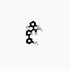 NC(=O)C(c1cccc(-c2cccc(C(F)(F)F)c2)n1)c1c(Cl)cccc1Cl